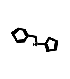 C1=CC[C]([Hf][CH2]c2ccccc2)=C1